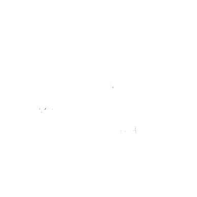 COc1ccc2c(c1)c(CC(=O)O)c(C)n2CC1CCCCC1